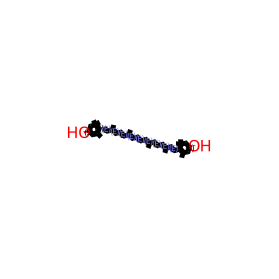 CC1=C[C@@H](O)CC(C)(C)[C@@H]1/C=C/C(C)=C/C=C/C(C)=C/C=C/C=C(C)/C=C/C=C(C)/C=C/C1=C(C)C[C@@H](O)CC1(C)C